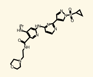 CC(C)Nc1cc(Nc2ccnc(-c3cnn(S(=O)(=O)C4CC4)c3)n2)ncc1C(=O)NCCN1CCOCC1